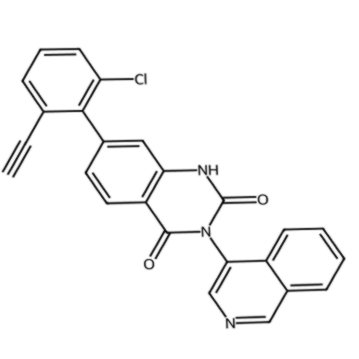 C#Cc1cccc(Cl)c1-c1ccc2c(=O)n(-c3cncc4ccccc34)c(=O)[nH]c2c1